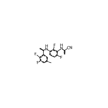 C=C(C#N)Nc1c(F)ccc(NC(=C)c2cc(C)cc(F)c2F)c1F